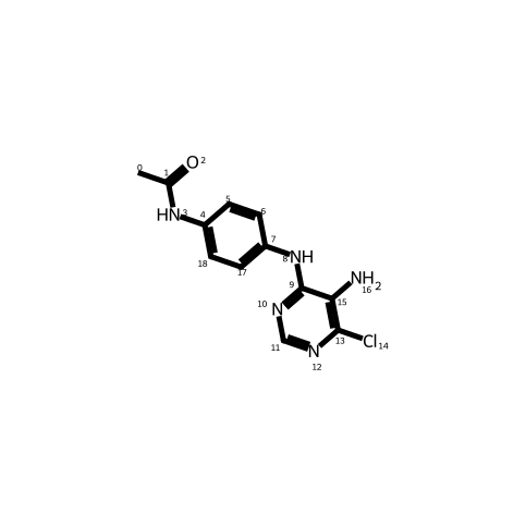 CC(=O)Nc1ccc(Nc2ncnc(Cl)c2N)cc1